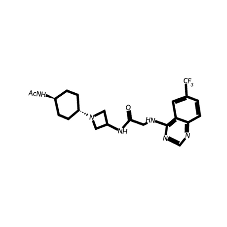 CC(=O)N[C@H]1CC[C@H](N2CC(NC(=O)CNc3ncnc4ccc(C(F)(F)F)cc34)C2)CC1